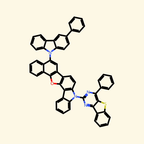 c1ccc(-c2ccc3c(c2)c2ccccc2n3-c2cc3c4ccc5c(c6ccccc6n5-c5nc(-c6ccccc6)c6sc7ccccc7c6n5)c4oc3c3ccccc23)cc1